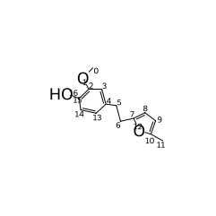 COc1cc(CCc2ccc(C)o2)ccc1O